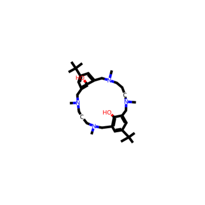 CN1CCCN(C)Cc2cc(C(C)(C)C)cc(c2O)CN(C)CCCN(C)Cc2cc(C(C)(C)C)cc(c2O)C1